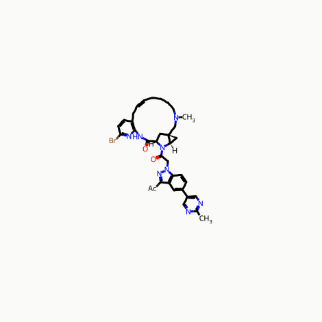 CC(=O)c1nn(CC(=O)N2[C@H]3C[C@]4(C[C@@H]24)CN(C)CCCCC=CCc2ccc(Br)nc2NC3=O)c2ccc(-c3cnc(C)nc3)cc12